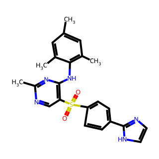 Cc1cc(C)c(Nc2nc(C)ncc2S(=O)(=O)c2ccc(-c3ncc[nH]3)cc2)c(C)c1